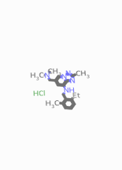 CCc1cccc(C)c1CNc1cc(CN(C)C)cn2nc(C)nc12.Cl